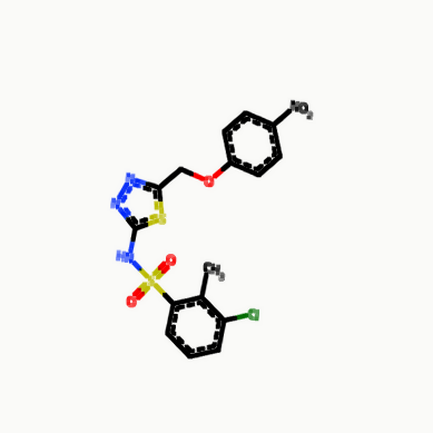 Cc1c(Cl)cccc1S(=O)(=O)Nc1nnc(COc2ccc([N+](=O)[O-])cc2)s1